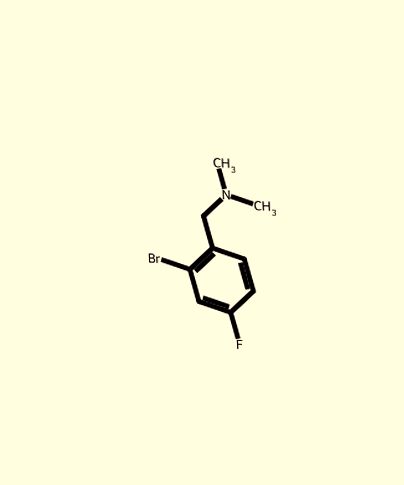 CN(C)Cc1ccc(F)cc1Br